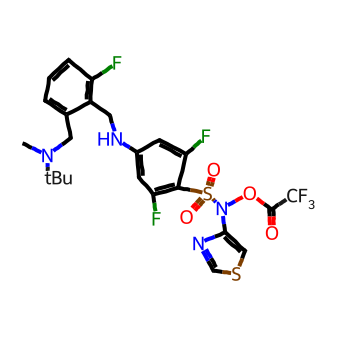 CN(Cc1cccc(F)c1CNc1cc(F)c(S(=O)(=O)N(OC(=O)C(F)(F)F)c2cscn2)c(F)c1)C(C)(C)C